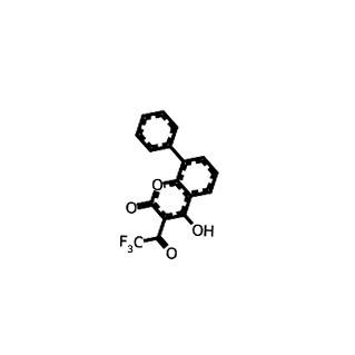 O=C(c1c(O)c2cccc(-c3ccccc3)c2oc1=O)C(F)(F)F